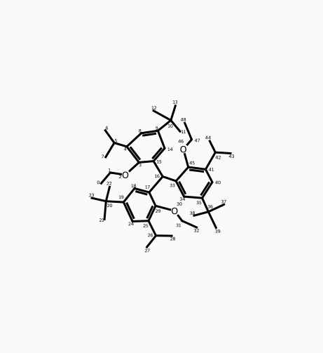 CCOc1c(C(C)C)cc(C(C)(C)C)cc1C(c1cc(C(C)(C)C)cc(C(C)C)c1OCC)c1cc(C(C)(C)C)cc(C(C)C)c1OCC